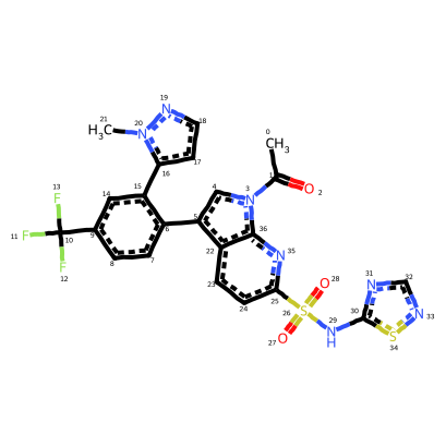 CC(=O)n1cc(-c2ccc(C(F)(F)F)cc2-c2ccnn2C)c2ccc(S(=O)(=O)Nc3ncns3)nc21